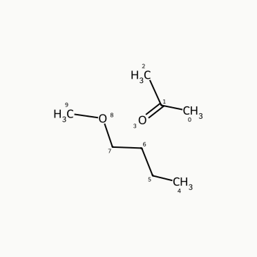 CC(C)=O.CCCCOC